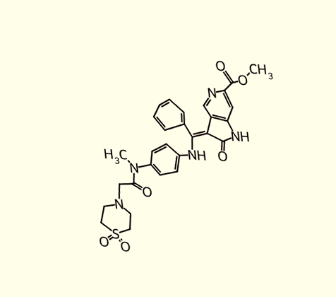 COC(=O)c1cc2c(cn1)/C(=C(/Nc1ccc(N(C)C(=O)CN3CCS(=O)(=O)CC3)cc1)c1ccccc1)C(=O)N2